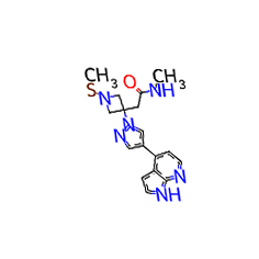 CNC(=O)CC1(n2cc(-c3ccnc4[nH]ccc34)cn2)CN(SC)C1